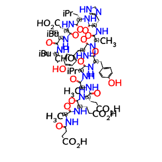 CC[C@H](C)[C@H](NC(=O)[C@H](CC(=O)O)NC(=O)[C@H](CC(C)C)NC(=O)[C@H](Cc1c[nH]cn1)NC(=O)[C@H](C)NC(=O)[C@H](Cc1ccc(O)cc1)NC(=O)[C@H](Cc1ccc(O)cc1)NC(=O)[C@@H](NC(=O)[C@H](C)NC(=O)[C@H](CCC(=O)O)NC(=O)[C@H](CCC(=O)O)NC(=O)[C@H](C)NC(=O)CCC(=O)O)C(C)C)C(=O)N[C@H]([C]=O)[C@@H](C)CC